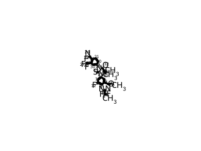 COc1nc(C(C)(F)F)nc2c(F)cc(N3C(=S)N(c4ccc(C#N)c(C(F)(F)F)c4)C(=O)C3(C)C)cc12